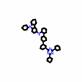 CN(c1ccc2c(c1)c1ccccc1n2-c1ccccc1)c1ccccc1-c1ccc(-c2cccc(-c3nc(-c4ccccc4)nc(-c4ccccc4)n3)c2)cc1